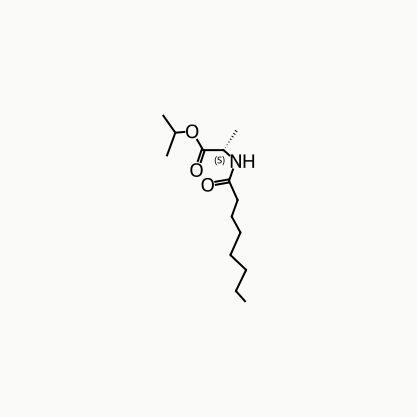 CCCCCCCC(=O)N[C@@H](C)C(=O)OC(C)C